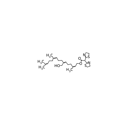 CC(C)=CCCC(C)=CCCC(=CCCC(C)=CCOC(=O)C(C1=NCCS1)C1=NCCS1)CO